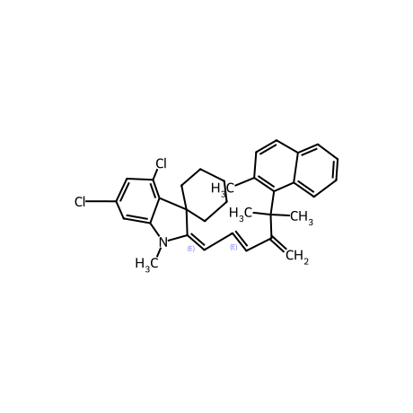 C=C(/C=C/C=C1/N(C)c2cc(Cl)cc(Cl)c2C12CCCCC2)C(C)(C)c1c(C)ccc2ccccc12